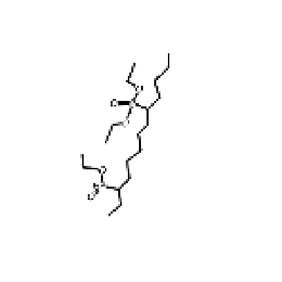 CCCCC(CCCCCC(CC)[PH](=O)OCC)P(=O)(OCC)OCC